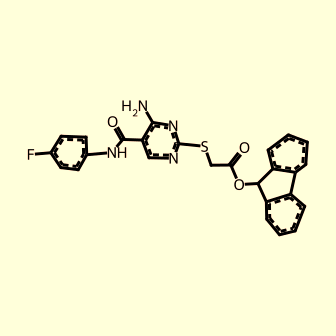 Nc1nc(SCC(=O)OC2c3ccccc3-c3ccccc32)ncc1C(=O)Nc1ccc(F)cc1